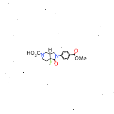 COC(=O)c1ccc(N2C[C@H]3CN(C(=O)O)CC[C@@]3(F)C2=O)cc1